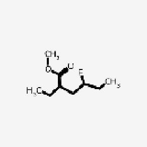 CCC(F)CC(CC)C(=O)OC